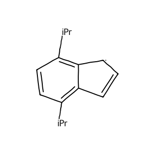 CC(C)c1ccc(C(C)C)c2c1[CH]C=C2